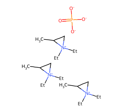 CC[N+]1(CC)CC1C.CC[N+]1(CC)CC1C.CC[N+]1(CC)CC1C.O=P([O-])([O-])[O-]